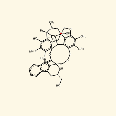 COc1c(C)cc2c(c1O)[C@H]1[C@H](C)N(C3COC(=O)[C@]4(CSCc5c(OC(C)=O)c(C)c6c(c53)OCO6)N[C@H](CO)Cc3c4[nH]c4ccccc34)C(O)(C2)CN1C